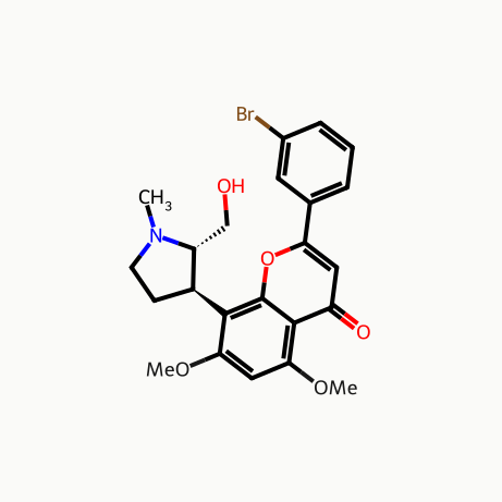 COc1cc(OC)c2c(=O)cc(-c3cccc(Br)c3)oc2c1[C@H]1CCN(C)[C@@H]1CO